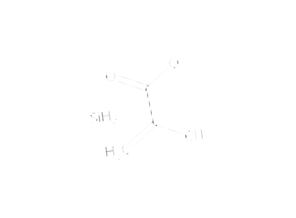 C=C(C)C([O])=O.[SiH4]